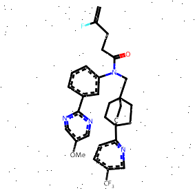 C=C(F)CCC(=O)N(CC12CCC(c3ccc(C(F)(F)F)cn3)(CC1)CC2)c1cccc(-c2ncc(OC)cn2)c1